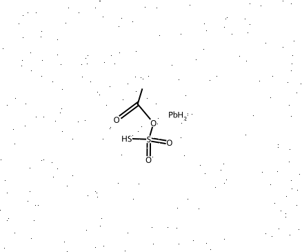 CC(=O)OS(=O)(=O)S.[PbH2]